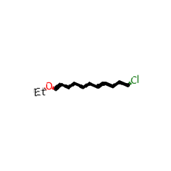 CCOC=CCCCCC=CCCCCl